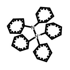 c1ccc(N(c2ccccc2)[N+](c2ccccc2)(c2ccccc2)c2ccccc2)cc1